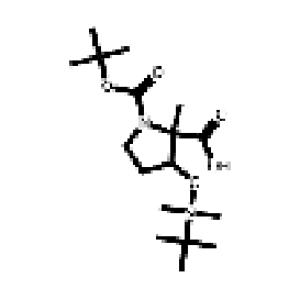 CC(C)(C)OC(=O)N1CCC(O[Si](C)(C)C(C)(C)C)C1(C)C(=O)O